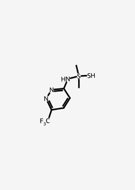 CS(C)(S)Nc1ccc(C(F)(F)F)nn1